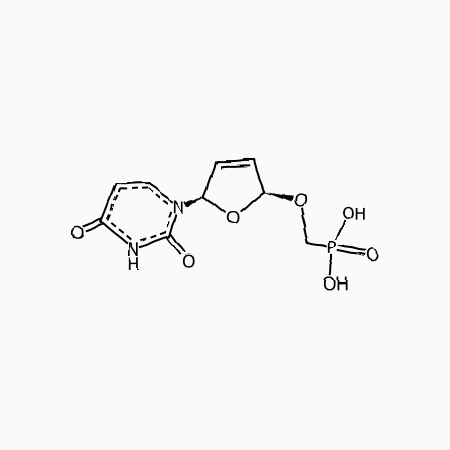 O=c1ccn([C@H]2C=C[C@@H](OCP(=O)(O)O)O2)c(=O)[nH]1